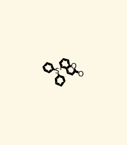 O=c1ccc2c([S+](c3ccccc3)c3ccccc3)cccc2o1